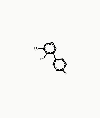 Cc1cc[c]c(-c2ccc(F)cc2)c1C(C)C